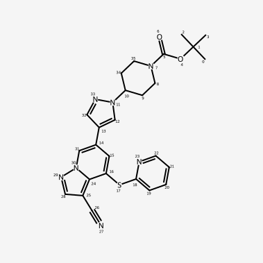 CC(C)(C)OC(=O)N1CCC(n2cc(-c3cc(Sc4ccccn4)c4c(C#N)cnn4c3)cn2)CC1